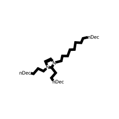 CCCCCCCCCCCCCCCCCCN1C=CN(CCCCCCCCCCCCC)C1CCCCCCCCCCCC